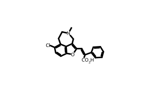 CN1CCc2c(Cl)ccc3oc(/C=C(\C(=O)O)c4ccccc4)c(c23)C1